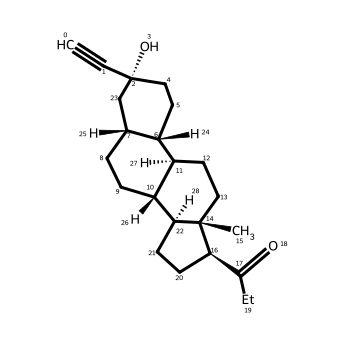 C#C[C@@]1(O)CC[C@H]2[C@H](CC[C@@H]3[C@@H]2CC[C@]2(C)[C@@H](C(=O)CC)CC[C@@H]32)C1